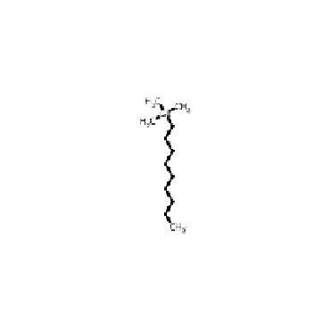 [CH2]CCCCCCC[CH2][Ge]([CH3])([CH3])[CH3]